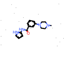 CN1CCN(c2cc[c]c(C(=O)Nc3ccc[nH]3)c2)CC1